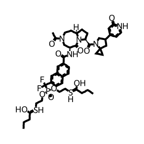 CCCC(O)=[SH]CCOP(=O)(OCC[SH]=C(O)CCC)C(F)(F)c1ccc2ccc(C(=O)N[C@H]3CN(C(C)=O)CC[C@H]4CC[C@@H](C(=O)N5CC(c6cc[nH]c(=O)c6)CC56CC6)N4C3=O)cc2c1